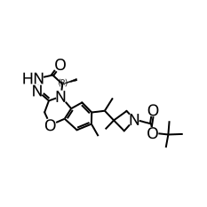 Cc1cc2c(cc1C(C)C1(C)CN(C(=O)OC(C)(C)C)C1)N1C(=NNC(=O)[C@H]1C)CO2